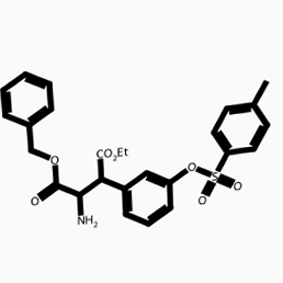 CCOC(=O)C(c1cccc(OS(=O)(=O)c2ccc(C)cc2)c1)C(N)C(=O)OCc1ccccc1